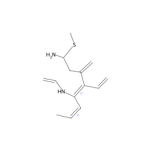 C=CNC(/C=C\C)=C(/C=C)C(=C)CC(N)SC